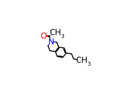 CCCc1ccc2c(c1)CN(C(C)=O)CC2